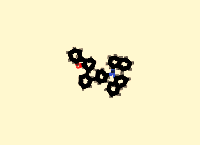 c1ccc(-c2cccc3c2oc2ccccc23)c(-c2ccc(N(c3cccc4ccccc34)c3cccc4ccccc34)cc2)c1